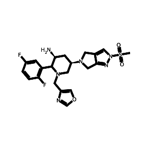 CS(=O)(=O)n1cc2c(n1)CN([C@@H]1C[C@H](N)C(c3cc(F)ccc3F)N(Cc3cocn3)C1)C2